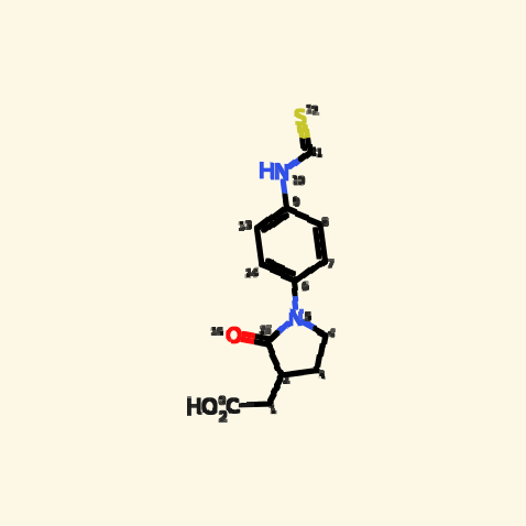 O=C(O)CC1CCN(c2ccc(NC=S)cc2)C1=O